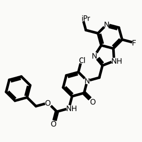 CC(C)Cc1ncc(F)c2[nH]c(Cn3c(Cl)ccc(NC(=O)OCc4ccccc4)c3=O)nc12